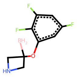 BC1(Oc2cc(F)cc(F)c2F)CNC1